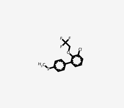 CSc1ccc(-c2c[c]cc(Cl)c2OCC(F)(F)F)cc1